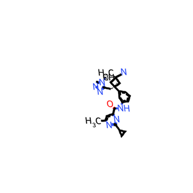 Cc1cc(C(=O)Nc2cccc([C@]3(Cc4nncn4C)C[C@@](C)(C#N)C3)c2)nc(C2CC2)n1